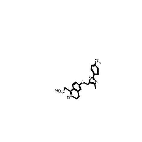 Cc1nc(-c2ccc(C(F)(F)F)cc2)sc1CSc1ccc2c(c1)CC[N+]([O-])=C2CC(=O)O